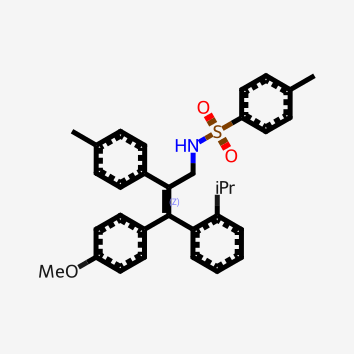 COc1ccc(/C(=C(/CNS(=O)(=O)c2ccc(C)cc2)c2ccc(C)cc2)c2ccccc2C(C)C)cc1